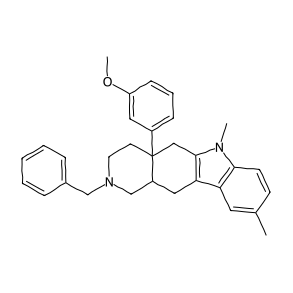 COc1cccc(C23CCN(Cc4ccccc4)CC2Cc2c(n(C)c4ccc(C)cc24)C3)c1